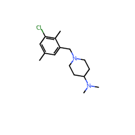 Cc1cc(Cl)c(C)c(CN2CCC(N(C)C)CC2)c1